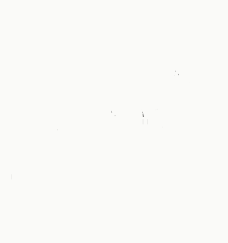 O=C(CCCN1CC[C@H]2Cc3[nH]c4c(c3C(=S)[C@@H]2C1)CCCC4)c1ccc(F)cc1